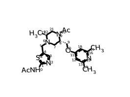 CC(=O)Nc1ncc(CN2C[C@@H](COc3cc(C)nc(C)c3)N(C(C)=O)C[C@@H]2C)s1